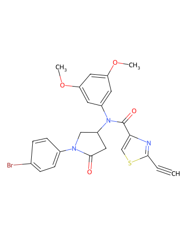 C#Cc1nc(C(=O)N(c2cc(OC)cc(OC)c2)C2CC(=O)N(c3ccc(Br)cc3)C2)cs1